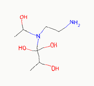 CC(O)N(CCN)C(O)(O)C(C)O